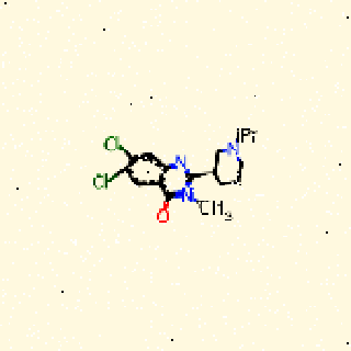 CC(C)N1CCC[C@@H](c2nc3cc(Cl)c(Cl)cc3c(=O)n2C)C1